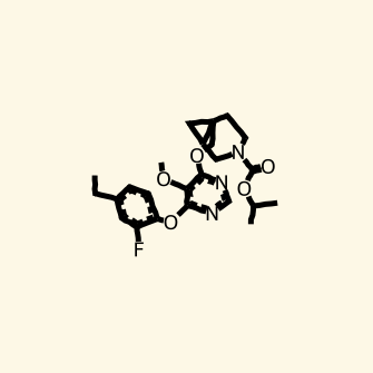 CCc1ccc(Oc2ncnc(OCC34CCN(C(=O)OC(C)C)CC3C4)c2OC)c(F)c1